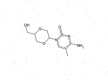 Cc1cn(C2COC(CO)CO2)c(=O)nc1N